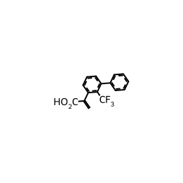 C=C(C(=O)O)c1cccc(-c2ccccc2)c1C(F)(F)F